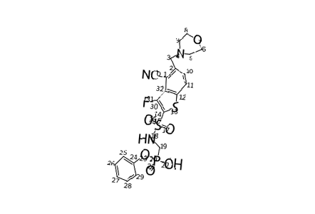 N#Cc1c(CN2CCOCC2)ccc2sc(S(=O)(=O)NCP(=O)(O)Oc3ccccc3)c(F)c12